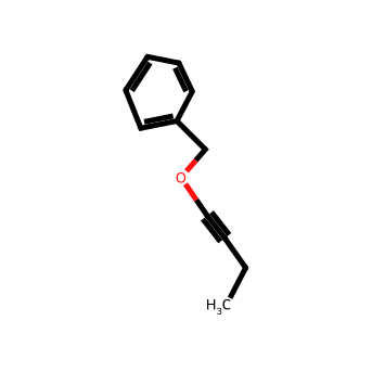 CCC#COCc1ccccc1